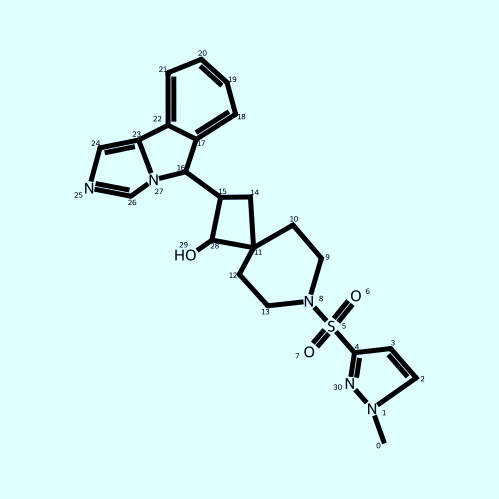 Cn1ccc(S(=O)(=O)N2CCC3(CC2)CC(C2c4ccccc4-c4cncn42)C3O)n1